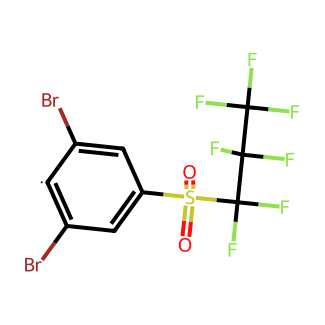 O=S(=O)(c1cc(Br)[c]c(Br)c1)C(F)(F)C(F)(F)C(F)(F)F